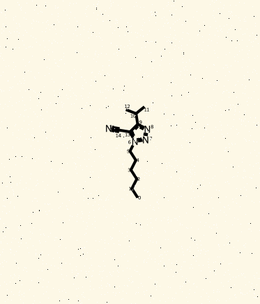 CCCCCCn1nnc(C(C)C)c1C#N